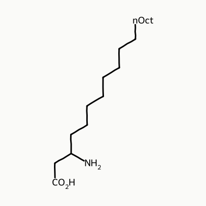 CCCCCCCCCCCCCCCCC(N)CC(=O)O